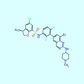 CCc1cc(-c2c(F)ccc(NS(=O)(=O)c3cc(Cl)cc4c3OC[C@H]4OC(C)=O)c2F)cc2cnc(NC3CCN(C)CC3)nc12